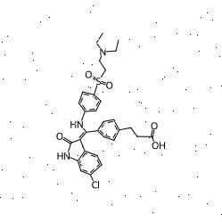 CCN(CC)CCS(=O)(=O)c1ccc(N/C(=C2\C(=O)Nc3cc(Cl)ccc32)c2ccc(CCC(=O)O)cc2)cc1